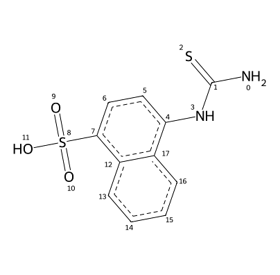 NC(=S)Nc1ccc(S(=O)(=O)O)c2ccccc12